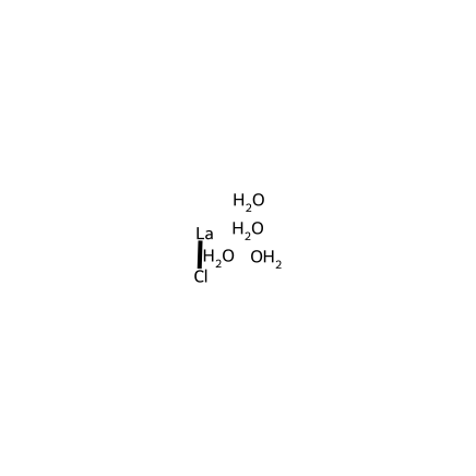 O.O.O.O.[Cl][La]